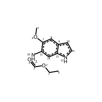 CCOC=O.COc1cc2cc[nH]c2cc1N